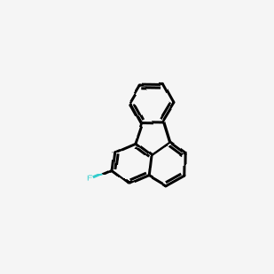 Fc1[c]c2c3c(cccc3c1)-c1ccccc1-2